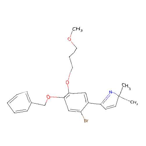 COCCCOc1cc(C2=NC(C)(C)C=C2)c(Br)cc1OCc1ccccc1